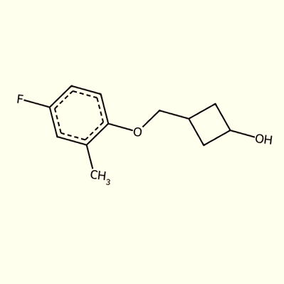 Cc1cc(F)ccc1OCC1CC(O)C1